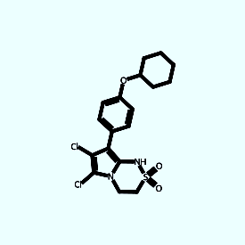 O=S1(=O)CCn2c(Cl)c(Cl)c(-c3ccc(OC4CCCCC4)cc3)c2N1